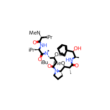 CC[C@H](C)[C@@H]([C@@H](CC(=O)N1CCC[C@H]1[C@H](OC)[C@@H](C)C(=O)N[C@H](C)[C@@H](O)c1ccccc1)OC)N(C)C(=O)[C@H](NC(=O)[C@H](NC)C(C)C)C(C)C